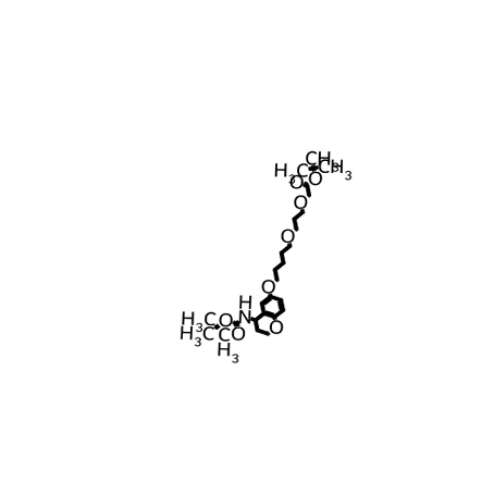 CC(C)(C)OC(=O)COCCCOCCCCCOc1ccc2c(c1)C(NC(=O)OC(C)(C)C)CCO2